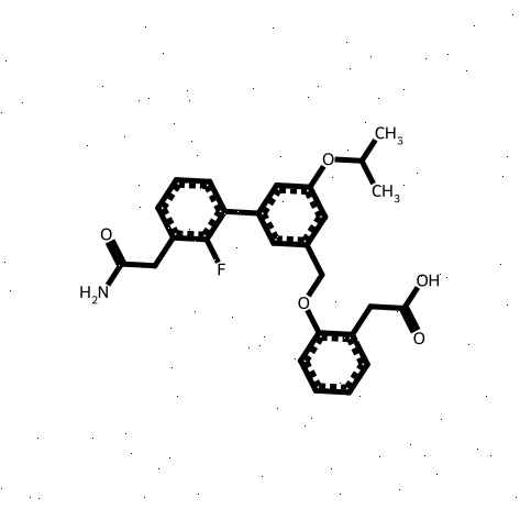 CC(C)Oc1cc(COc2ccccc2CC(=O)O)cc(-c2cccc(CC(N)=O)c2F)c1